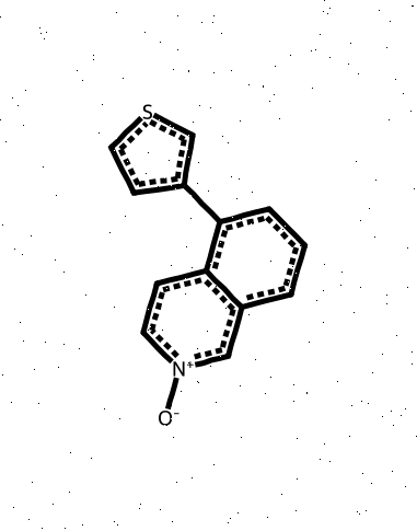 [O-][n+]1ccc2c(-c3ccsc3)cccc2c1